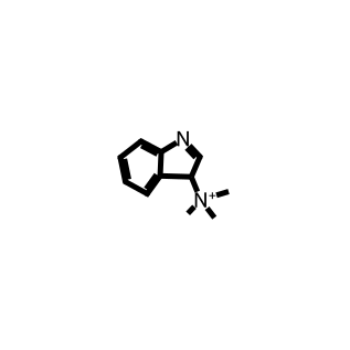 C[N+](C)(C)C1C=Nc2ccccc21